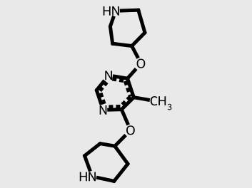 Cc1c(OC2CCNCC2)ncnc1OC1CCNCC1